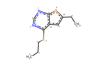 CCCSc1ncnc2sc(CC)cc12